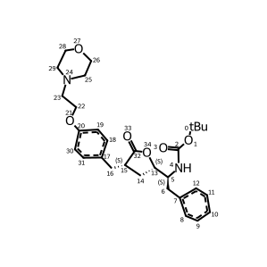 CC(C)(C)OC(=O)N[C@@H](Cc1ccccc1)[C@@H]1C[C@H](Cc2ccc(OCCN3CCOCC3)cc2)C(=O)O1